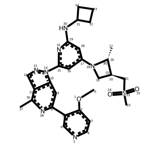 COc1ccncc1-c1cc2c(cnn2-c2cc(N3C[C@H](CS(C)(=O)=O)[C@H]3C)cc(NC3CCC3)n2)c(C)n1